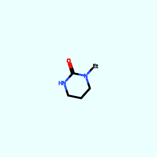 [CH2]CN1CCCNC1=O